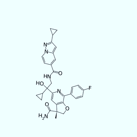 C[C@]1(C(N)=O)COc2c1cc(C(O)(CNC(=O)c1ccn3nc(C4CC4)cc3c1)C1CC1)nc2-c1ccc(F)cc1